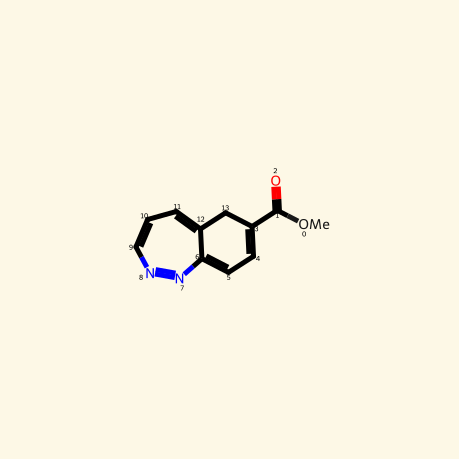 COC(=O)C1=CC=C2N=NC=CC=C2C1